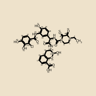 CCN1CCN(C(=O)NC(C(=O)N[C@H]2Cc3cccc(C(=O)O)c3OB2O)c2ccc(O)c(NC(=O)c3ccc(O)c(O)c3Cl)c2)C(=O)C1=O